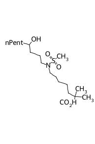 CCCCCC(O)CCCN(CCCCCC(C)(C)C(=O)O)S(C)(=O)=O